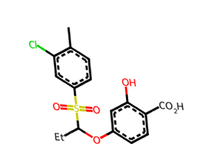 CCC(Oc1ccc(C(=O)O)c(O)c1)S(=O)(=O)c1ccc(C)c(Cl)c1